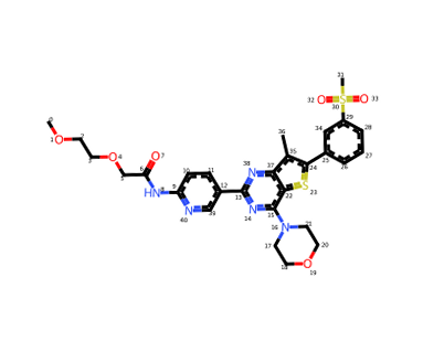 COCCOCC(=O)Nc1ccc(-c2nc(N3CCOCC3)c3sc(-c4cccc(S(C)(=O)=O)c4)c(C)c3n2)cn1